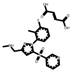 CNCc1cc(S(=O)(=O)c2cccnc2)n(-c2cccc(F)c2C)n1.O=C(O)/C=C/C(=O)O